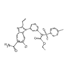 CCOC(=O)N(c1cccc(-n2c(CC)nc3cc(C(N)=O)c(Cl)cc32)c1)S(=O)(=O)c1ccc(C)cc1